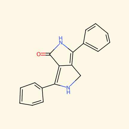 O=C1NC(c2ccccc2)=C2CNC(c3ccccc3)=C12